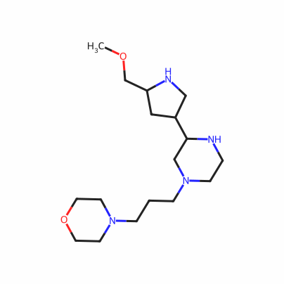 COCC1CC(C2CN(CCCN3CCOCC3)CCN2)CN1